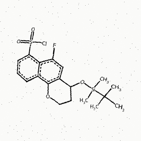 CC(C)(C)[Si](C)(C)OC1CCOc2c1cc(F)c1c(S(=O)(=O)Cl)cccc21